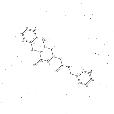 O=C(O)CCC(CC(=O)OCc1ccccc1)NC(=O)OCc1ccccc1